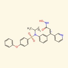 CC(C)N(c1cccc(/C(=C\C(=O)NO)c2cccnc2)c1)S(=O)(=O)c1ccc(Oc2ccccc2)cc1